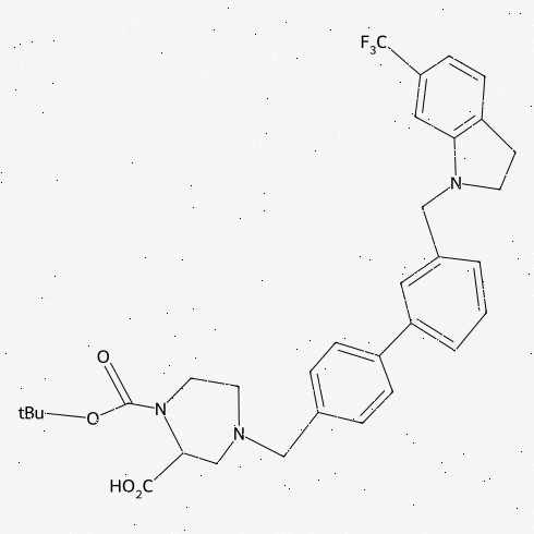 CC(C)(C)OC(=O)N1CCN(Cc2ccc(-c3cccc(CN4CCc5ccc(C(F)(F)F)cc54)c3)cc2)CC1C(=O)O